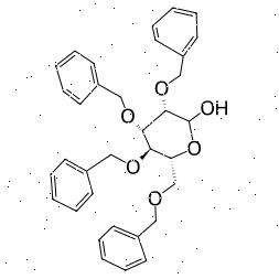 OC1O[C@H](COCc2ccccc2)[C@@H](OCc2ccccc2)[C@H](OCc2ccccc2)[C@@H]1OCc1ccccc1